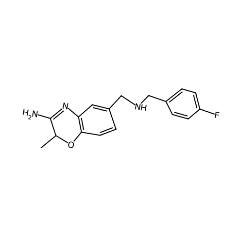 CC1Oc2ccc(CNCc3ccc(F)cc3)cc2N=C1N